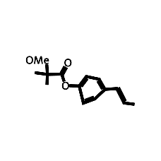 C/C=C/c1ccc(OC(=O)C(C)(C)OC)cc1